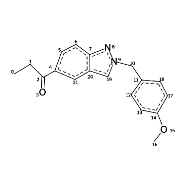 CCC(=O)c1ccc2nn(Cc3ccc(OC)cc3)cc2c1